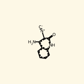 [C-]#[N+]c1c(N)c2ccccc2[nH]c1=O